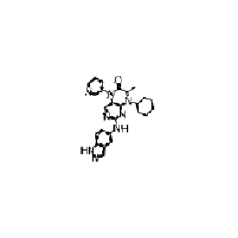 C[C@@H]1C(=O)N(c2cccnc2)c2cnc(Nc3ccc4[nH]ncc4c3)nc2N1C1CCCCC1